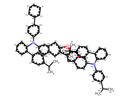 CC(C)c1ccc(-c2ccccc2N(c2ccc(-c3ccccc3)cc2)c2ccc3cc4c(cc3c2)oc2cc3cc(N(c5ccc(C(C)C)cc5)c5ccccc5-c5ccc(C(C)(C)C)cc5)ccc3cc24)cc1